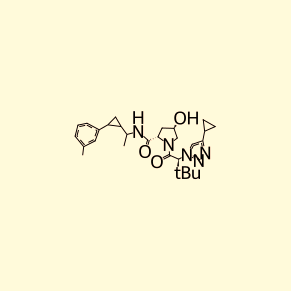 Cc1cccc(C2CC2C(C)NC(=O)[C@@H]2C[C@@H](O)CN2C(=O)[C@@H](n2cc(C3CC3)nn2)C(C)(C)C)c1